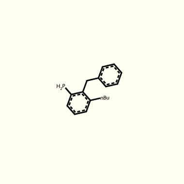 CCCCc1cccc(P)c1Cc1ccccc1